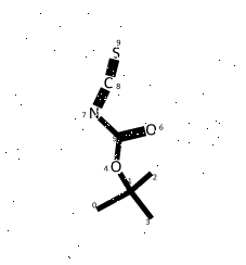 CC(C)(C)OC(=O)N=C=S